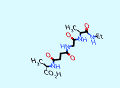 CCNC(=O)[C@H](C)NC(=O)CNC(=O)CCC(=O)N[C@@H](C)C(=O)O